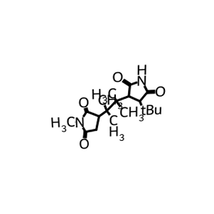 CN1C(=O)CC(C(C)(C)C(C)(C)C2C(=O)NC(=O)C2C(C)(C)C)C1=O